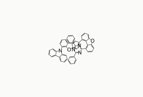 c1ccc(-c2nc(-c3ccccc3)nc(-c3cccc4oc5cccc(-c6ccc7oc8c(-n9c%10ccccc%10c%10ccccc%109)cccc8c7c6)c5c34)n2)cc1